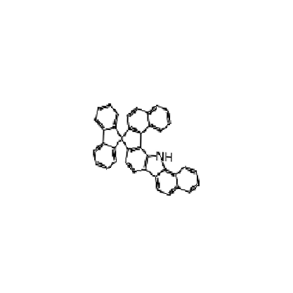 c1ccc2c(c1)-c1ccccc1C21c2ccc3ccccc3c2-c2c1ccc1c2[nH]c2c3ccccc3ccc12